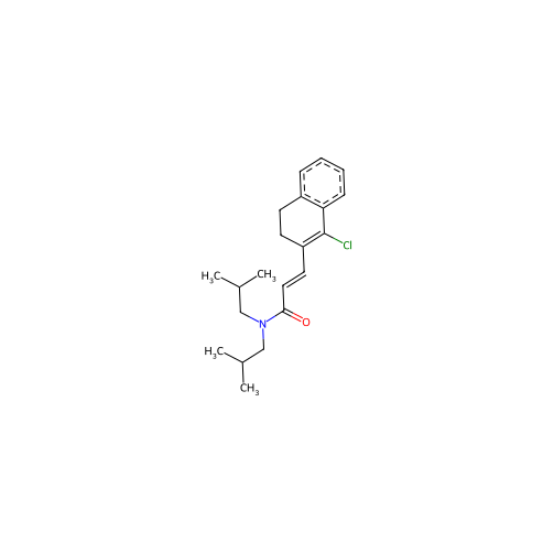 CC(C)CN(CC(C)C)C(=O)C=CC1=C(Cl)c2ccccc2CC1